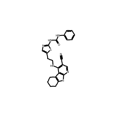 N#Cc1cnc2sc3c(c2c1NCCc1cnc(NC(=O)Nc2ccccc2)s1)CCCC3